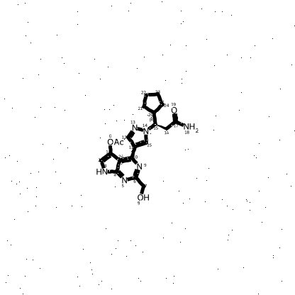 CC(=O)Oc1c[nH]c2nc(CO)nc(-c3cnn([C@H](CC(N)=O)C4CCCC4)c3)c12